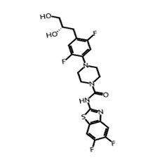 O=C(Nc1nc2cc(F)c(F)cc2s1)N1CCN(c2cc(F)c(C[C@H](O)CO)cc2F)CC1